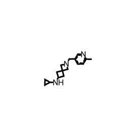 Cc1ccc(CN2CC3(CC(NC4CC4)C3)C2)cn1